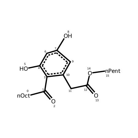 CCCCCCCCC(=O)c1c(O)cc(O)cc1CC(=O)OCCCCC